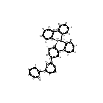 c1ccc(-c2cccc(-c3ccc4c(c3)-c3ccccc3B3c5ccccc5-c5ccccc5N34)n2)nc1